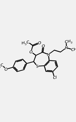 COc1ccc(C2Sc3cc(Cl)ccc3N(CCN(C)C)C(=O)C2OC(C)=O)cc1